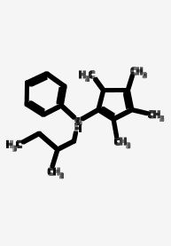 CCC(C)C[SiH](C1=C(C)C(C)=C(C)C1C)c1ccccc1